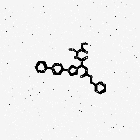 CNC(=O)[C@@H](NC(=O)C(CC(=O)OCc1ccccc1)N1C=CN(c2ccc(-c3ccccc3)cc2)C1)C(C)(C)C